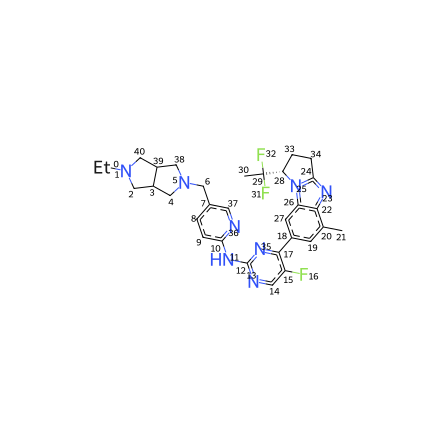 CCN1CC2CN(Cc3ccc(Nc4ncc(F)c(-c5cc(C)c6nc7n(c6c5)[C@H](C(C)(F)F)CC7)n4)nc3)CC2C1